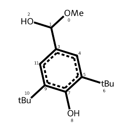 COC(O)c1cc(C(C)(C)C)c(O)c(C(C)(C)C)c1